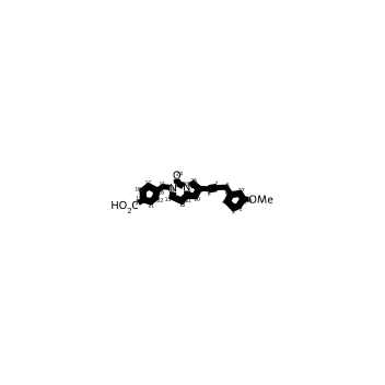 COc1cccc(CC#Cc2cc3ccn(Cc4ccc(C(=O)O)cc4)c(=O)n3c2)c1